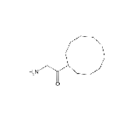 NCC(=O)C1CCCCCCCCC1